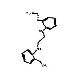 CCOc1ccccc1NCCNc1ccccc1CC